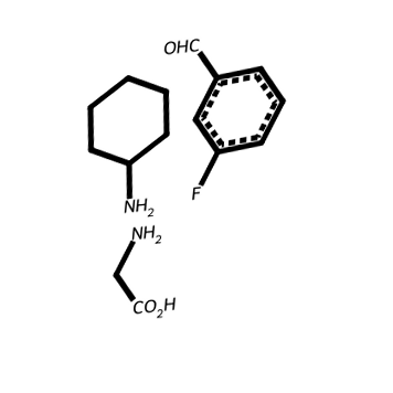 NC1CCCCC1.NCC(=O)O.O=Cc1cccc(F)c1